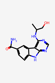 CC(CO)Nc1ncnc2[nH]c3ccc(C(N)=O)cc3c12